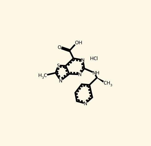 Cc1nc2nc(N[C@@H](C)c3cccnc3)nc(C(=O)O)c2s1.Cl